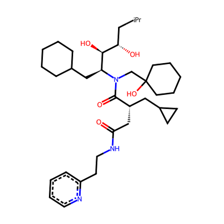 CC(C)C[C@H](O)[C@H](O)[C@H](CC1CCCCC1)N(CC1(O)CCCCC1)C(=O)[C@@H](CC(=O)NCCc1ccccn1)CC1CC1